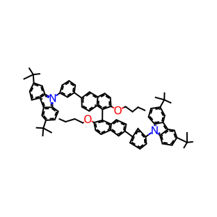 CCCCOc1ccc2cc(-c3cccc(-n4c5ccc(C(C)(C)C)cc5c5cc(C(C)(C)C)ccc54)c3)ccc2c1-c1c(OCCCC)ccc2cc(-c3cccc(-n4c5ccc(C(C)(C)C)cc5c5ccc(C(C)(C)C)cc54)c3)ccc12